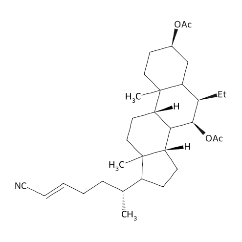 CC[C@@H]1C2C[C@H](OC(C)=O)CCC2(C)[C@H]2CCC3(C)C([C@H](C)CC/C=C/C#N)CC[C@H]3C2[C@@H]1OC(C)=O